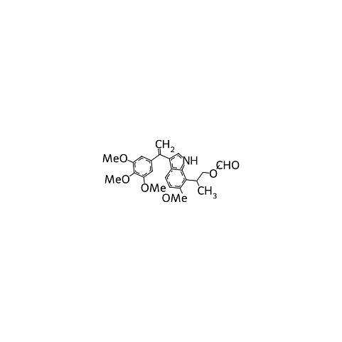 C=C(c1cc(OC)c(OC)c(OC)c1)c1c[nH]c2c(C(C)COC=O)c(OC)ccc12